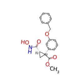 COC(=O)[C@@]1(c2cccc(OCc3ccccc3)c2)C[C@@H]1C(=O)NO